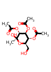 CC(=O)O[C@H]1[C@H](OC(C)=O)[C@@H](CO)O[C@@](C)(O)[C@@H]1OC(C)=O